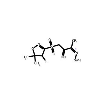 CN/N=C(\C(=N)CS(=O)(=O)C1=NOC(C)(C)C1F)C(F)(F)F